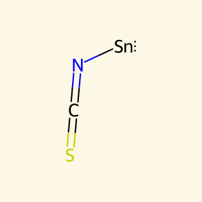 S=C=[N][Sn]